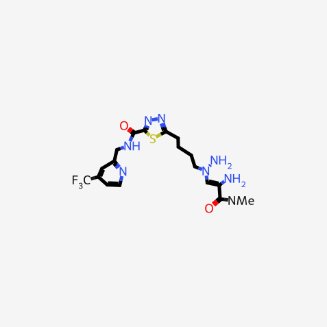 CNC(=O)/C(N)=C/N(N)CCCCc1nnc(C(=O)NCc2cc(C(F)(F)F)ccn2)s1